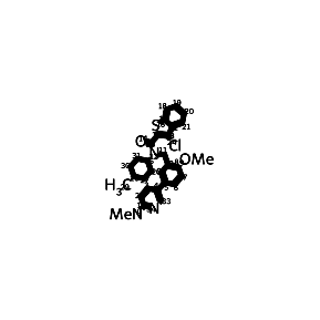 CNc1ccc(-c2ccc(OC)c(CN(C(=O)c3sc4ccccc4c3Cl)[C@H]3CC[C@H](C)CC3)c2)cn1